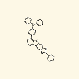 c1ccc(-c2nc3cc4c(cc3o2)oc2c(-c3ccc(N(c5ccccc5)c5ccccc5)cc3)cccc24)cc1